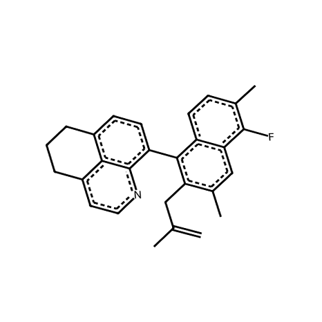 C=C(C)Cc1c(C)cc2c(F)c(C)ccc2c1-c1ccc2c3c(ccnc13)CCC2